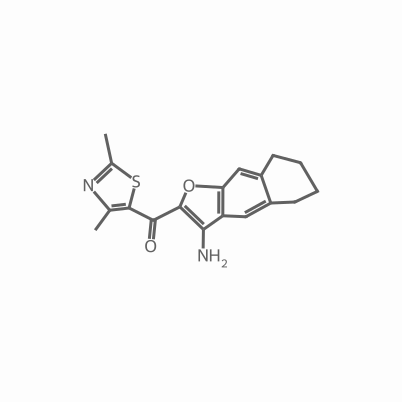 Cc1nc(C)c(C(=O)c2oc3cc4c(cc3c2N)CCCC4)s1